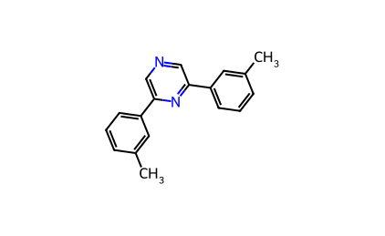 Cc1cccc(-c2cncc(-c3cccc(C)c3)n2)c1